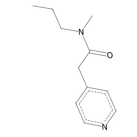 CCCN(C)C(=O)Cc1ccncc1